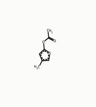 CC(=O)Oc1cc(C)cs1